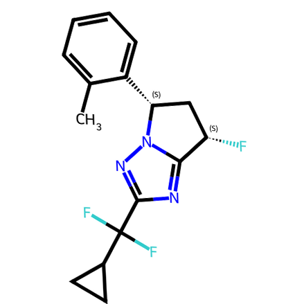 Cc1ccccc1[C@@H]1C[C@H](F)c2nc(C(F)(F)C3CC3)nn21